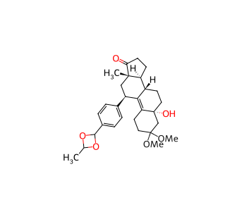 COC1(OC)CCC2=C3[C@@H](CC[C@@]2(O)C1)[C@@H]1CCC(=O)[C@@]1(C)C[C@@H]3c1ccc(C2OC(C)O2)cc1